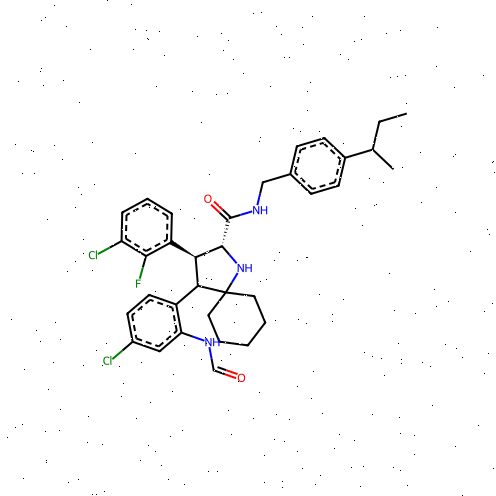 CCC(C)c1ccc(CNC(=O)[C@@H]2NC3(CCCCC3)C(c3ccc(Cl)cc3NC=O)[C@H]2c2cccc(Cl)c2F)cc1